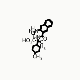 CC1CCC([C@](C)(NC(=O)c2cc3ccccc3cc2N)C(=O)O)CC1.Cl